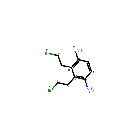 COc1ccc(N)c(CCBr)c1CCBr